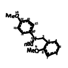 CCCCN(Cc1ccccc1OC)c1ccc(OC)cc1